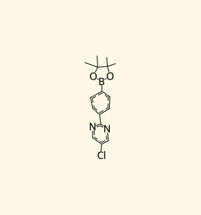 CC1(C)OB(c2ccc(-c3ncc(Cl)cn3)cc2)OC1(C)C